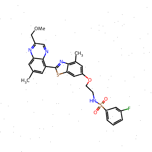 COCc1cnc2c(-c3nc4c(C)cc(OCCNS(=O)(=O)c5cccc(F)c5)cc4s3)cc(C)cc2n1